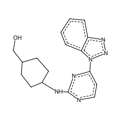 OCC1CCC(Nc2nccc(-n3nnc4ccccc43)n2)CC1